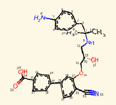 CC(C)(Cc1ccc(N)cc1)NC[C@H](O)COc1cc(-c2ccc(C(=O)O)cc2)ccc1C#N